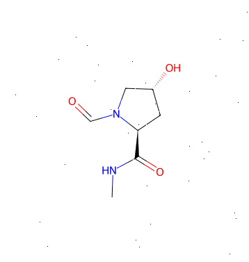 CNC(=O)[C@@H]1C[C@@H](O)CN1C=O